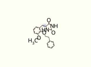 COc1cccc(/C=C2\NC(=O)NC2=O)c1OCCc1ccccc1